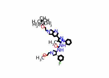 COCCN1C[C@@H](NC(=O)Nc2c(C)c(-c3cnc4c(c3)CN(CCO[Si](C)(C)C(C)(C)C)C4)nn2-c2ccccc2)[C@H](c2cccc(F)c2)C1